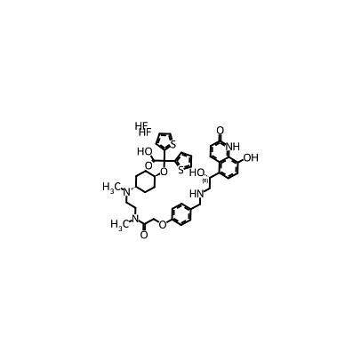 CN(CCN(C)[C@H]1CC[C@H](OC(C(=O)O)(c2cccs2)c2cccs2)CC1)C(=O)COc1ccc(CNC[C@H](O)c2ccc(O)c3[nH]c(=O)ccc23)cc1.F.F